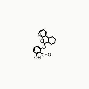 O=Cc1c(O)cccc1OCC1CCCCC1c1cccnc1Cl